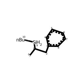 [CH2]C(Cc1ccccc1)[SiH2]CCCC